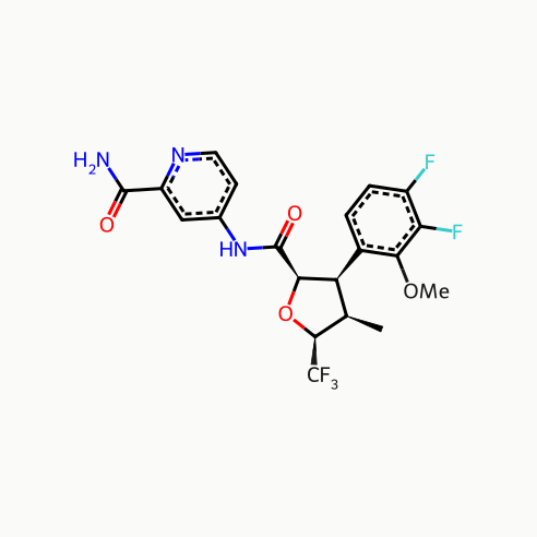 COc1c([C@H]2[C@@H](C)[C@@H](C(F)(F)F)O[C@H]2C(=O)Nc2ccnc(C(N)=O)c2)ccc(F)c1F